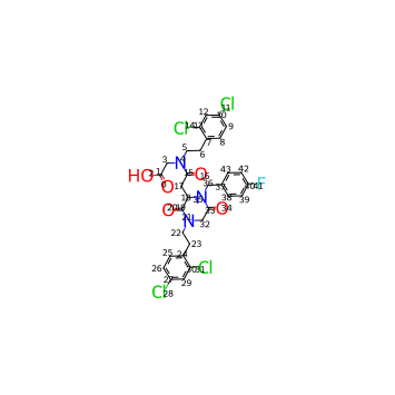 O=C(O)CN(CCc1ccc(Cl)cc1Cl)C(=O)CC1C(=O)N(CCc2ccc(Cl)cc2Cl)CC(=O)N1Cc1ccc(F)cc1